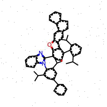 CC(C)c1cccc(C(C)C)c1-c1ccc(-c2nc3ccccc3n2-c2c(C(C)C)cc(-c3ccccc3)cc2C(C)C)c2oc3cc4c(ccc5ccccc54)cc3c12